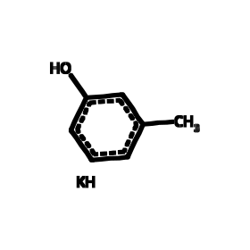 Cc1cccc(O)c1.[KH]